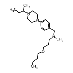 CCCCOCCCN(C)Cc1ccc(N2CCN(C(C)CC)CC2)cc1